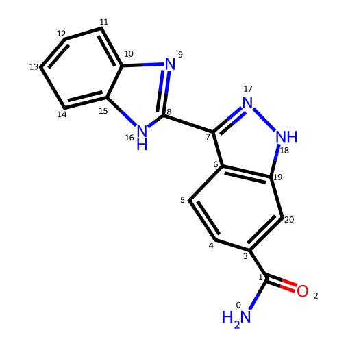 NC(=O)c1ccc2c(-c3nc4ccccc4[nH]3)n[nH]c2c1